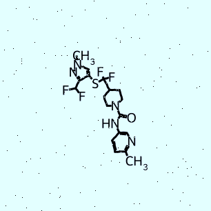 Cc1ccc(NC(=O)N2CCC(C(F)(F)Sc3cn(C)nc3C(F)F)CC2)cn1